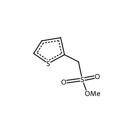 COS(=O)(=O)Cc1cccs1